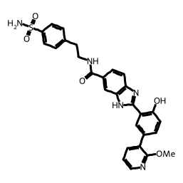 COc1ncccc1-c1ccc(O)c(-c2nc3ccc(C(=O)NCCc4ccc(S(N)(=O)=O)cc4)cc3[nH]2)c1